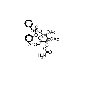 CC(=O)OC[C@H]1O[C@H](OP(=O)(Oc2ccccc2)Oc2ccccc2)[C@@H](OC(C)=O)[C@@H](OC(C)=O)[C@@H]1OOC(N)=O